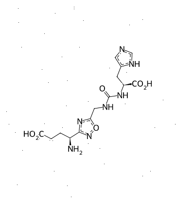 N[C@@H](CCC(=O)O)c1noc(CNC(=O)N[C@@H](Cc2cnc[nH]2)C(=O)O)n1